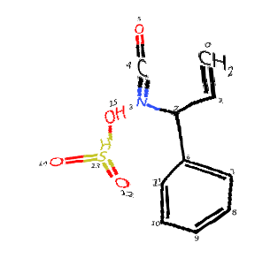 C=CC(N=C=O)c1ccccc1.O=[SH](=O)O